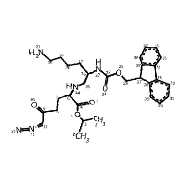 CC(C)OC(=O)C(CCC(=O)C=[N+]=[N-])NCC(CCCCN)NC(=O)OCC1c2ccccc2-c2ccccc21